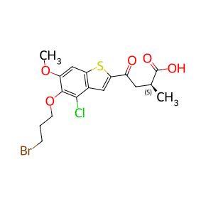 COc1cc2sc(C(=O)C[C@H](C)C(=O)O)cc2c(Cl)c1OCCCBr